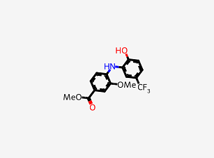 COC(=O)c1ccc(Nc2cc(C(F)(F)F)ccc2O)c(OC)c1